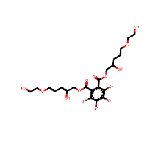 O=C(OCC(O)CCCOCCO)c1c(Br)c(Br)c(Br)c(Br)c1C(=O)OCC(O)CCCOCCO